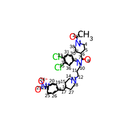 CC(=O)N1CCC(C(=O)N(CCCN2CCC(Cc3ccc([N+](=O)[O-])cc3)CC2)c2ccc(Cl)c(Cl)c2)CC1